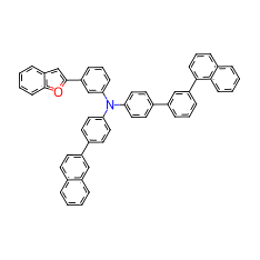 c1cc(-c2ccc(N(c3ccc(-c4ccc5ccccc5c4)cc3)c3cccc(-c4cc5ccccc5o4)c3)cc2)cc(-c2cccc3ccccc23)c1